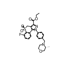 CCOC(=O)c1nn(-c2ccc(CN3CCOC[C@H]3C)cc2)c2c1CS(=O)(=O)c1c(F)cccc1-2